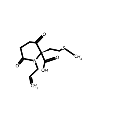 C=CCN1C(=O)CCC(=O)[C@]1(CCSC)C(=O)O